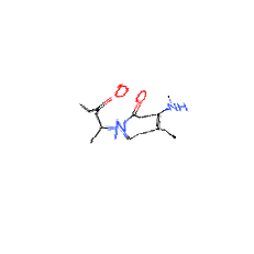 CN[C@@H]1C(=O)N(C(C)C(C)=O)C[C@@H]1C